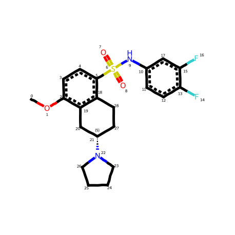 COc1ccc(S(=O)(=O)Nc2ccc(F)c(F)c2)c2c1C[C@@H](N1CCCC1)CC2